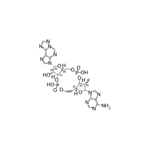 Nc1ncnc2c1ncn2C1O[C@@H]2C#COP(=O)(O)O[C@H]3[C@@H](O)[C@H](n4cnc5c4ncn4ncnc54)O[C@@H]3COP(=O)(O)O[C@H]2[C@H]1F